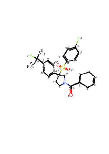 O=C(C1CC=CCC1)N1CCC(c2ccc(C(F)(C(F)(F)F)C(F)(F)F)cc2)(S(=O)(=O)c2ccc(F)cc2)C1